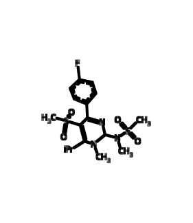 CC(C)C1=C(S(C)(=O)=O)C(c2ccc(F)cc2)=NC(N(C)S(C)(=O)=O)N1C